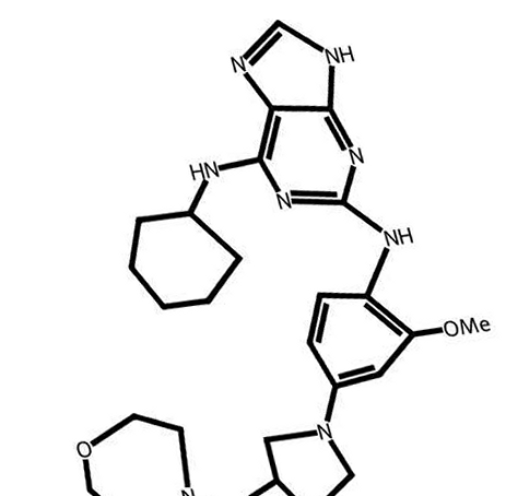 COc1cc(N2CCC(CN3CCOCC3)C2)ccc1Nc1nc(NC2CCCCC2)c2nc[nH]c2n1